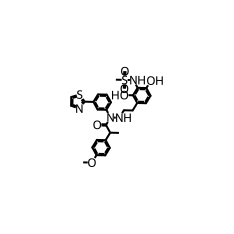 COc1ccc(C(C)C(=O)N(NCCc2ccc(O)c(NS(C)(=O)=O)c2O)c2cccc(-c3nccs3)c2)cc1